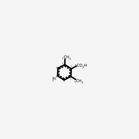 Cc1cccc(C)c1C(=O)O.[In]